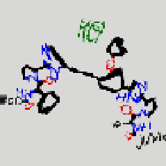 COC(=O)NC(C(=O)N1CCCC1c1ncc(C#CC#Cc2ccc(-c3cnc(C4CCCN4C(=O)[C@@H](NC(=O)OC)C(C)C)[nH]3)cc2Oc2ccccc2)[nH]1)c1ccccc1.Cl.Cl